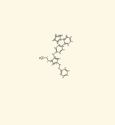 CCCn1nc(CCc2ccccc2)nc1Cc1ccc(-c2cccnc2-c2nnn[nH]2)cc1